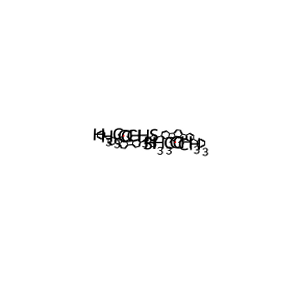 CC1(C)c2cc(-c3ccccc3)ccc2-c2ccc3c(c21)C(C)(C)c1cc(-c2cc4sc(C5=CC6C(C=C5)c5ccc7c(c5C6(C)C)C(C)(C)c5cc(-c6ccccc6)ccc5-7)cc4s2)ccc1-3